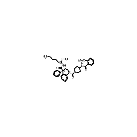 COc1ccccc1C(=O)NC1CCN(C(=O)[C@H]2CC[C@@](C(=O)N[C@@H](CCCCN)C(=O)O)(c3ccccc3)c3ccccc32)CC1